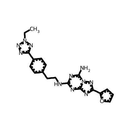 CCn1nnc(-c2ccc(CCNc3nc(N)n4nc(-c5ccco5)nc4n3)cc2)n1